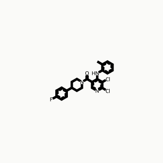 Cc1ccccc1Nc1c(C(=O)N2CCC(c3ccc(F)cc3)CC2)cnc(Cl)c1Cl